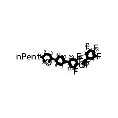 CCCCCC1CCC(c2ccc(-c3cc(F)c(OC(F)(F)c4cc(F)c(F)c(F)c4)c(F)c3)cc2)OC1